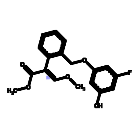 CO/C=C(/C(=O)OC)c1ccccc1COc1cc(O)cc(F)c1